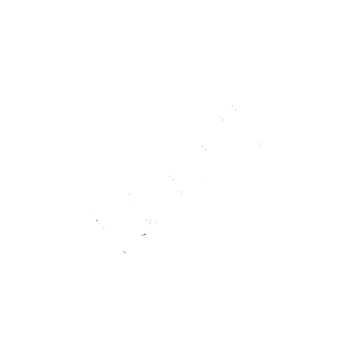 C[C@@H]1[C@H]2C[C@@H](C[C@H]1Nc1cnn(CC(=O)NCc3nn(C)cc3Br)c(=O)c1Br)C2(C)C